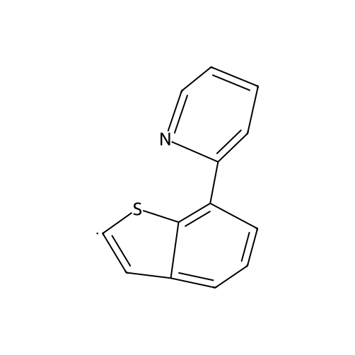 [c]1cc2cccc(-c3ccccn3)c2s1